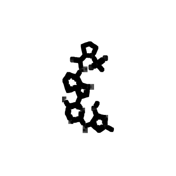 COc1nn(C)cc1Nc1ncc(F)c(-c2c[nH]c3c(NC(=O)C4CCCN4S(C)(=O)=O)cccc23)n1